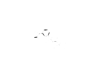 CN(C(=O)F)c1cccc([Si](C)(C)CC[Si](C)(C)C)c1